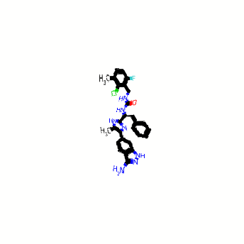 Cc1ccc(F)c(CNC(=O)N[C@@H](Cc2ccccc2)c2nc(-c3ccc4c(N)n[nH]c4c3)c(C)[nH]2)c1Cl